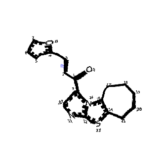 O=C(/C=C/c1ccco1)c1cnc2sc3c(n12)CCCCC3